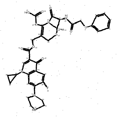 O=C(COc1ccccc1)N[C@@H]1C(=O)N2C(OC(=O)O)=C(COC(=O)c3cn(C4CC4)c4cc(N5CCNCC5)c(F)cc4c3=O)CS[C@H]12